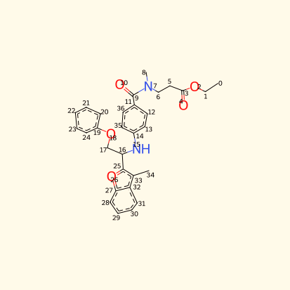 CCOC(=O)CCN(C)C(=O)c1ccc(NC(COc2ccccc2)c2oc3ccccc3c2C)cc1